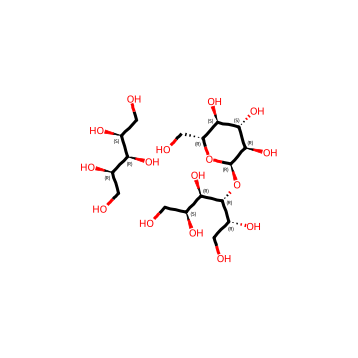 OC[C@@H](O)[C@@H](O[C@H]1O[C@H](CO)[C@@H](O)[C@H](O)[C@H]1O)[C@H](O)[C@@H](O)CO.OC[C@@H](O)[C@H](O)[C@@H](O)CO